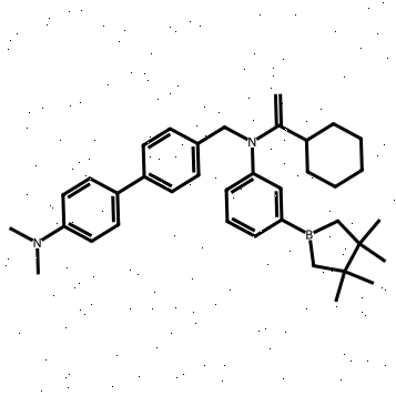 C=C(C1CCCCC1)N(Cc1ccc(-c2ccc(N(C)C)cc2)cc1)c1cccc(B2CC(C)(C)C(C)(C)C2)c1